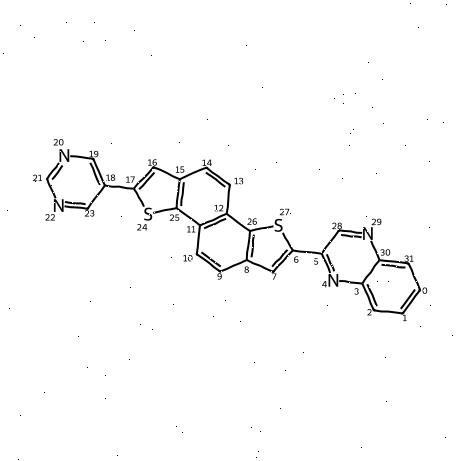 c1ccc2nc(-c3cc4ccc5c(ccc6cc(-c7cncnc7)sc65)c4s3)cnc2c1